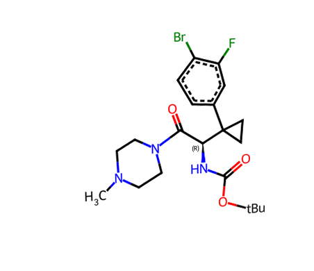 CN1CCN(C(=O)[C@H](NC(=O)OC(C)(C)C)C2(c3ccc(Br)c(F)c3)CC2)CC1